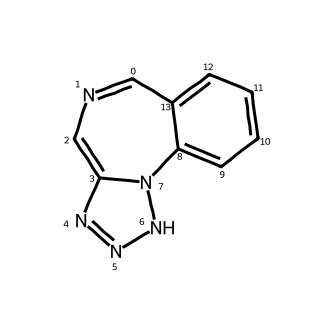 C1=NC=C2N=NNN2c2ccccc21